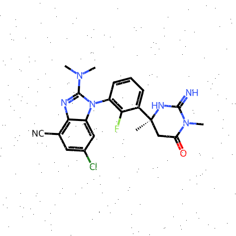 CN1C(=N)N[C@](C)(c2cccc(-n3c(N(C)C)nc4c(C#N)cc(Cl)cc43)c2F)CC1=O